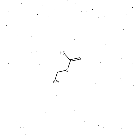 CCCCSC(=S)S